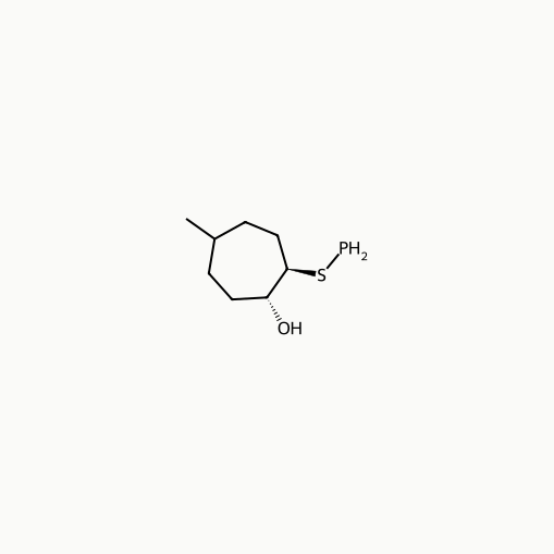 CC1CC[C@@H](O)[C@H](SP)CC1